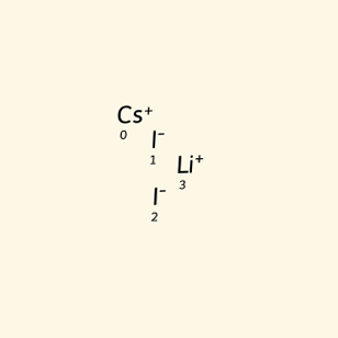 [Cs+].[I-].[I-].[Li+]